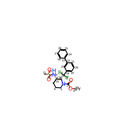 CC(C)OC(=O)N1CCC[C@H](NS(C)(=O)=O)[C@@H]1C(F)(F)c1cccc(-c2ccccc2)c1